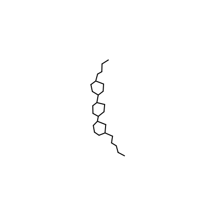 CCCCCC1CCCC(C2CCC(C3CCC(CCCC)CC3)CC2)C1